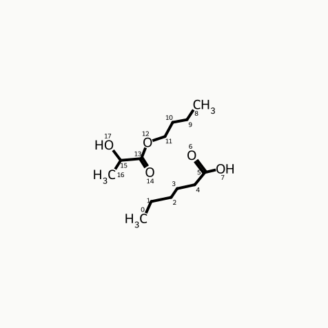 CCCCCC(=O)O.CCCCOC(=O)C(C)O